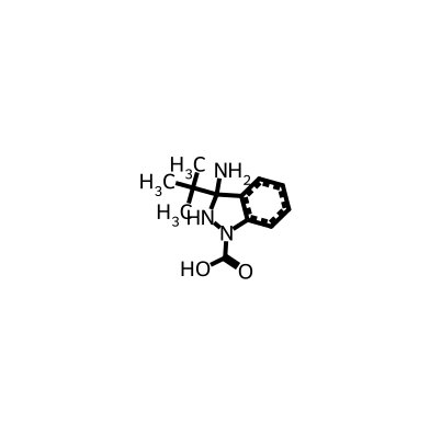 CC(C)(C)C1(N)NN(C(=O)O)c2ccccc21